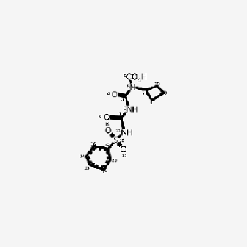 O=C(NC(=O)N(C(=O)O)C1CCC1)NS(=O)(=O)c1ccccc1